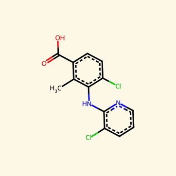 Cc1c(C(=O)O)ccc(Cl)c1Nc1ncccc1Cl